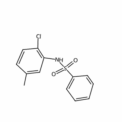 Cc1ccc(Cl)c(NS(=O)(=O)c2ccccc2)c1